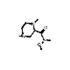 CON(C)C(=O)C1CNCCN1C